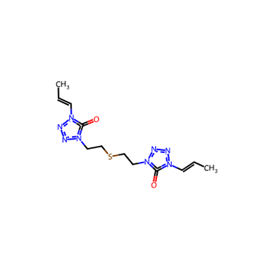 C/C=C/n1nnn(CCSCCn2nnn(/C=C/C)c2=O)c1=O